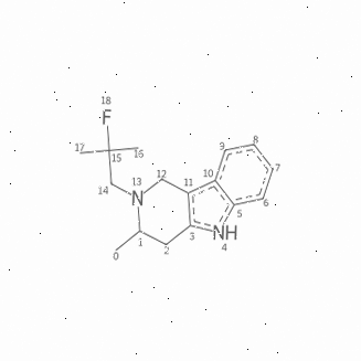 CC1Cc2[nH]c3ccccc3c2CN1CC(C)(C)F